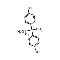 CC(C)(c1ccc(O)cc1)c1ccc(O)cc1.O